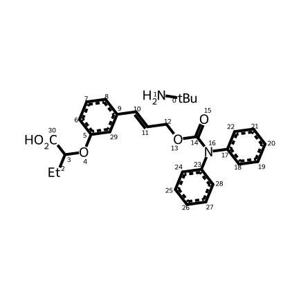 CC(C)(C)N.CCC(Oc1cccc(C=CCOC(=O)N(c2ccccc2)c2ccccc2)c1)C(=O)O